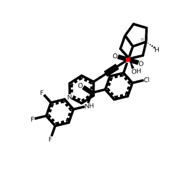 O=C(Nc1cc(F)c(F)c(F)c1)c1ccc(Cl)c(S(=O)(=O)C2C3CC[C@H]2C[C@](O)(C#Cc2ccncc2)C3)c1